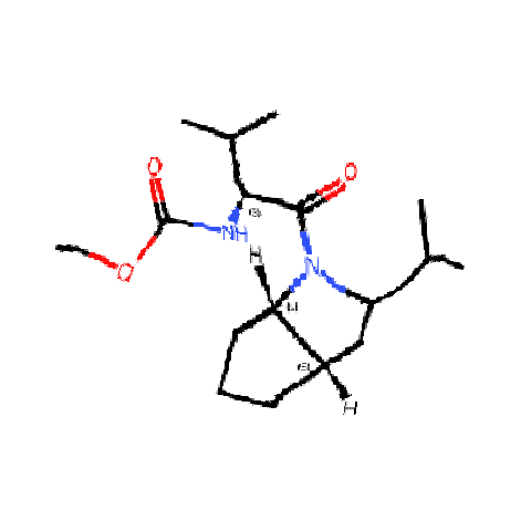 COC(=O)N[C@H](C(=O)N1C(C(C)C)C[C@@H]2CCC[C@@H]21)C(C)C